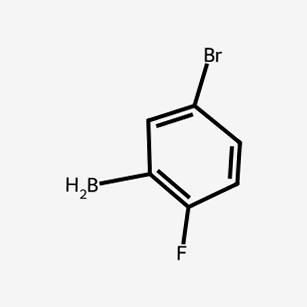 Bc1cc(Br)ccc1F